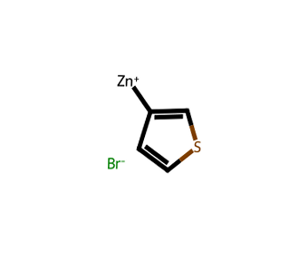 [Br-].[Zn+][c]1ccsc1